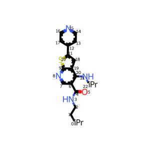 CC(C)CCNC(=O)c1cnc2sc(-c3ccncc3)cc2c1NC(C)C